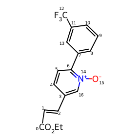 CCOC(=O)C=Cc1ccc(-c2cccc(C(F)(F)F)c2)[n+]([O-])c1